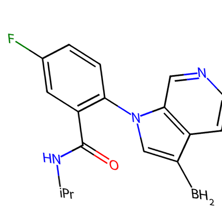 Bc1cn(-c2ccc(F)cc2C(=O)NC(C)C)c2cnccc12